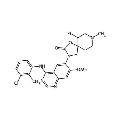 CCC1CN(C)CCC12CN(c1cc3c(Nc4cccc(Cl)c4C)ncnc3cc1OC)C(=O)O2